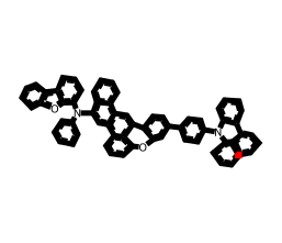 c1ccc(-c2ccccc2N(c2ccccc2)c2ccc(-c3ccc4c(c3)Oc3cccc5c3c-4cc3c4ccccc4c(N(c4ccccc4)c4cccc6c4oc4ccccc46)cc53)cc2)cc1